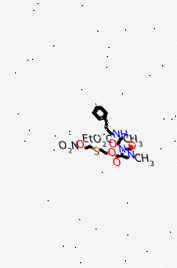 CCOC(=O)C(CCc1ccccc1)NC(C)C(=O)N1C(=O)N(C)CC1C(=O)OCCSCCO[N+](=O)[O-]